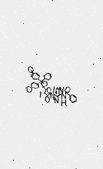 COc1ccc(C(OC[C@H]2O[C@@H](n3cnc4c(NC(=O)c5ccccc5)ncnc43)[C@H](OC)[C@@H]2I)(c2ccccc2)c2ccc(OC)cc2)cc1